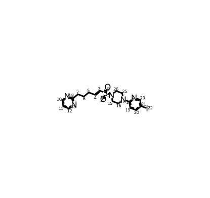 O=S(=O)(C=CCCCc1ncccn1)N1CCN(c2ccc(I)cn2)CC1